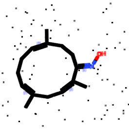 C/C1=C/CC/C=C(/C)CCC(=N\O)/C(C)=C\C1